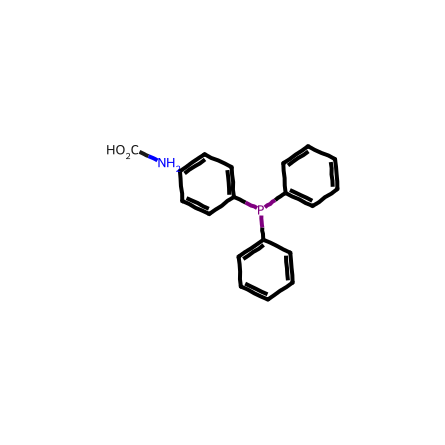 NC(=O)O.c1ccc(P(c2ccccc2)c2ccccc2)cc1